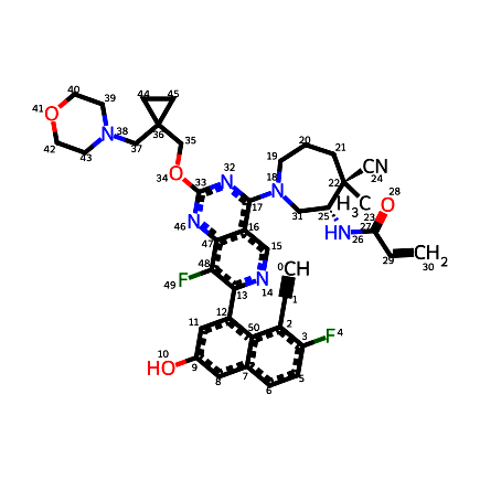 C#Cc1c(F)ccc2cc(O)cc(-c3ncc4c(N5CCC[C@@](C)(C#N)[C@H](NC(=O)C=C)C5)nc(OCC5(CN6CCOCC6)CC5)nc4c3F)c12